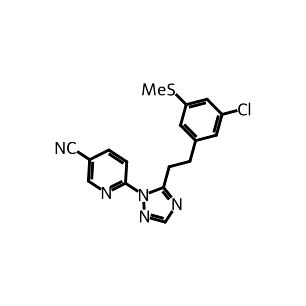 CSc1cc(Cl)cc(CCc2ncnn2-c2ccc(C#N)cn2)c1